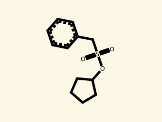 O=S(=O)(Cc1ccccc1)OC1CCCC1